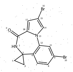 O=C1NC2(CC2)c2ccc(Br)cc2-n2cc(Br)cc21